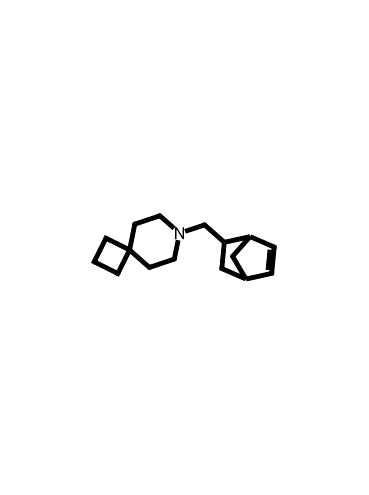 C1=CC2CC1CC2CN1CCC2(CCC2)CC1